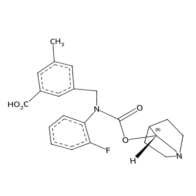 Cc1cc(CN(C(=O)O[C@H]2CN3CCC2CC3)c2ccccc2F)cc(C(=O)O)c1